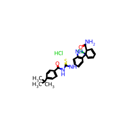 CC(C)(C)c1ccc(C(=O)NC(=S)Nc2ccc(C3(Cl)C=CC=CC3C(N)=O)c(N)c2)cc1.Cl